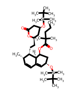 CCCC(C)(C)C(=O)O[C@H]1C[C@H](O[Si](C)(C)C(C)(C)C)C=C2C=C[C@H](C)[C@H](CC[C@@H]3C[C@@H](O[Si](C)(C)C(C)(C)C)CC(=O)O3)[C@H]21